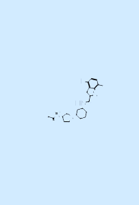 CCN(C(=O)CO)[C@H]1CCN([C@H]2CCC[C@@H](NC(=O)C3Cc4c(F)ccc(C)c4N3)C2)C1